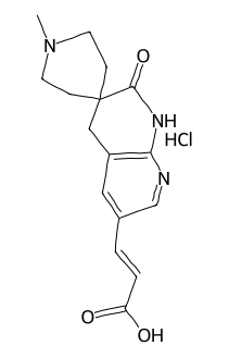 CN1CCC2(CC1)Cc1cc(/C=C/C(=O)O)cnc1NC2=O.Cl